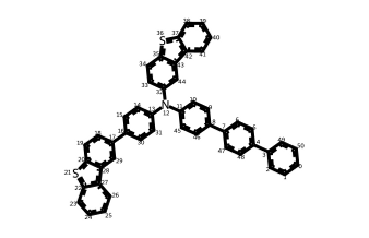 c1ccc(-c2ccc(-c3ccc(N(c4ccc(-c5ccc6sc7ccccc7c6c5)cc4)c4ccc5sc6ccccc6c5c4)cc3)cc2)cc1